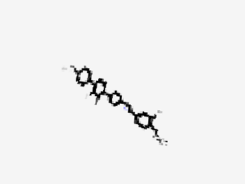 CCOCc1ccc(/C=C/c2ccc(-c3ccc(C4CCC(O)CC4)c(F)c3F)cc2)cc1F